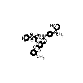 Cc1ccccc1Oc1cc2cnc(Nc3ccc(N(C)C4CCCNC4)cc3)nc2n(Cc2ncoc2S(=O)(=O)c2ccncc2)c1=O